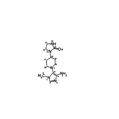 Cn1cnc(N)c1N1CCC(N2CCNC2=O)CC1